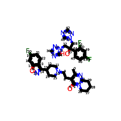 Cc1nc2n(c(=O)c1CCN1CCC(c3noc4cc(F)ccc34)CC1)CCCC2.OC(Cn1cncn1)(Cn1cncn1)c1ccc(F)cc1F